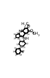 COc1cc2nc3c(c(NC4CCN(c5ccccc5F)CC4)c2cc1OC)CCC3